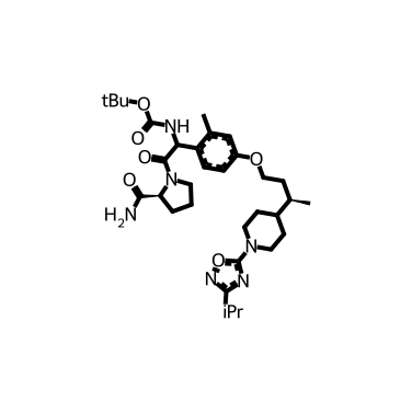 Cc1cc(OCC[C@@H](C)C2CCN(c3nc(C(C)C)no3)CC2)ccc1C(NC(=O)OC(C)(C)C)C(=O)N1CCC[C@H]1C(N)=O